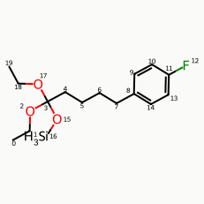 CCOC(CCCCc1ccc(F)cc1)(O[SiH3])OCC